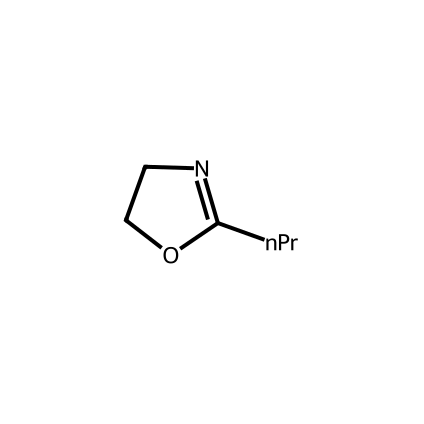 CCCC1=NCCO1